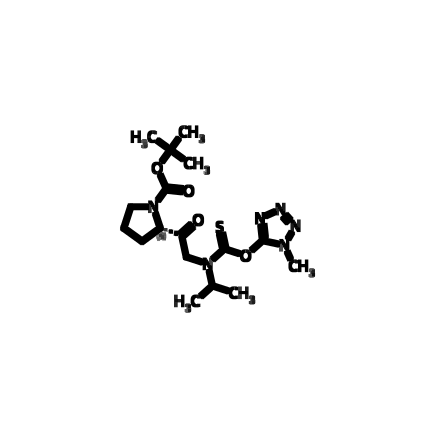 CC(C)N(CC(=O)[C@@H]1CCCN1C(=O)OC(C)(C)C)C(=S)Oc1nnnn1C